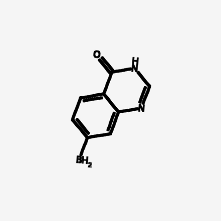 Bc1ccc2c(=O)[nH]cnc2c1